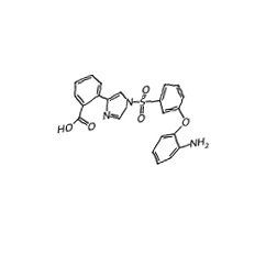 Nc1ccccc1Oc1cccc(S(=O)(=O)n2cnc(-c3ccccc3C(=O)O)c2)c1